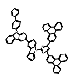 c1ccc(-c2ccc(-n3c4ccccc4c4cc(-c5ccc6c(c5)c5ccccc5n6-c5nc(-c6ccc7c8ccccc8c8ccccc8c7c6)cc(-c6ccc7c8ccccc8c8ccccc8c7c6)n5)ccc43)cc2)cc1